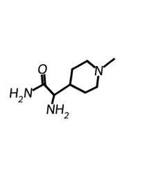 CN1CCC(C(N)C(N)=O)CC1